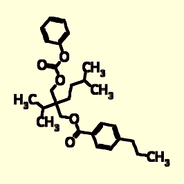 CCCc1ccc(C(=O)OCC(CCC(C)C)(COC(=O)Oc2ccccc2)C(C)C)cc1